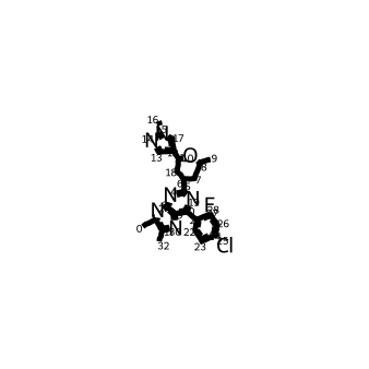 Cc1nc2nc(C3CC(C)OC(c4cnn(C)c4)C3)nc(-c3ccc(Cl)cc3F)c2nc1C